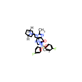 Cc1nc2c(n1C1C[C@H]3CC[C@@H](C1)N3CCCNC(=O)N(c1ccc(F)cc1)c1ccc(F)cc1)CCN(S(C)(=O)=O)C2